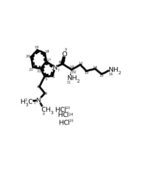 CN(C)CCc1cn(C(=O)[C@@H](N)CCCCN)c2ccccc12.Cl.Cl.Cl